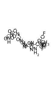 C[C@H](Oc1cc(-c2nn(C)c3c(-c4cnn(C5CCN(C(=O)CC6CN(c7cccc8c7C(=O)N(C7CCC(=O)NC7=O)C8=O)C6)CC5)c4)cnc(N)c23)ccc1NS(=O)(=O)C(F)F)c1ccc(F)cc1